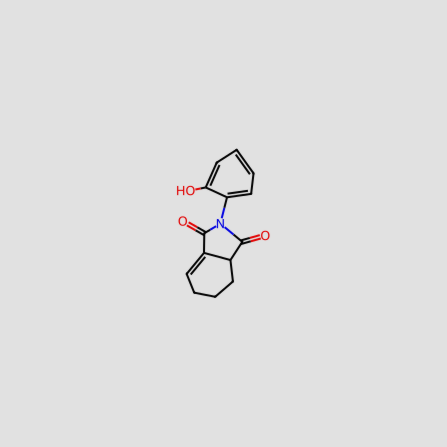 O=C1C2=CCCCC2C(=O)N1c1ccccc1O